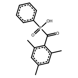 Cc1cc(C)c(C(=O)P(=O)(O)c2ccccc2)c(C)c1